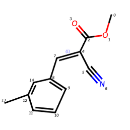 COC(=O)/C(C#N)=C/c1cccc(C)c1